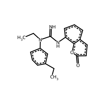 CCc1cccc(N(CC)C(=N)Nc2cccc3ccc(=O)oc23)c1